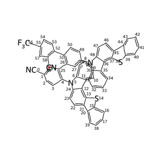 N#Cc1ccc(-n2c3ccccc3c3c4sc5ccccc5c4ccc32)c(-c2cc(-n3c4ccccc4c4c5sc6ccccc6c5ccc43)ccc2-c2ccc(C(F)(F)F)cc2C#N)c1